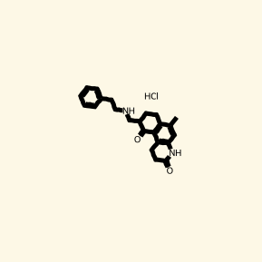 Cc1cc2c(c3c1CCC(CNCCc1ccccc1)C3=O)CCC(=O)N2.Cl